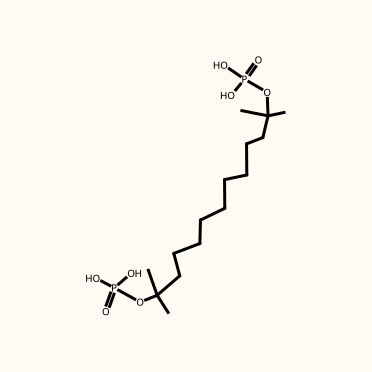 CC(C)(CCCCCCCCCC(C)(C)OP(=O)(O)O)OP(=O)(O)O